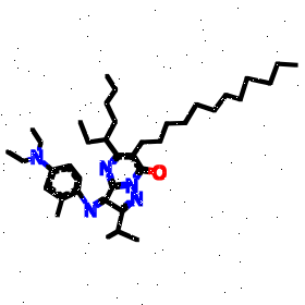 CCCCCCCCCCCCc1c(C(CC)CCCC)nc2n(c1=O)N=C(C(C)C)C2=Nc1ccc(N(CC)CC)cc1C